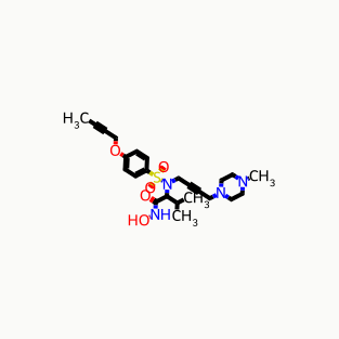 CC#CCOc1ccc(S(=O)(=O)N(CC#CCN2CCN(C)CC2)C(C(=O)NO)C(C)C)cc1